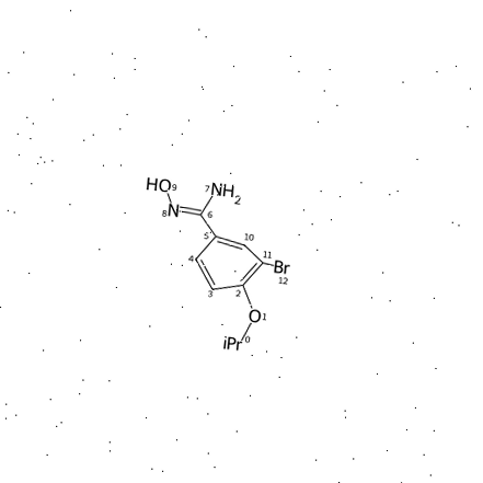 CC(C)Oc1ccc(/C(N)=N/O)cc1Br